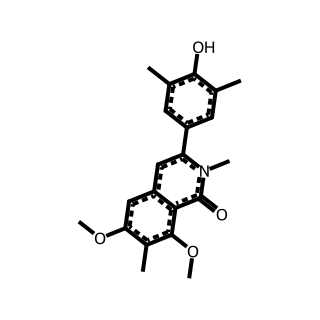 COc1cc2cc(-c3cc(C)c(O)c(C)c3)n(C)c(=O)c2c(OC)c1C